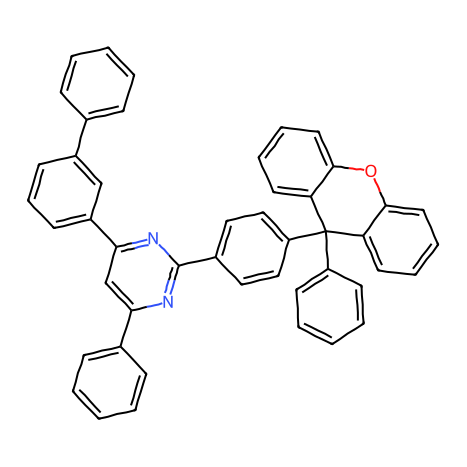 c1ccc(-c2cccc(-c3cc(-c4ccccc4)nc(-c4ccc(C5(c6ccccc6)c6ccccc6Oc6ccccc65)cc4)n3)c2)cc1